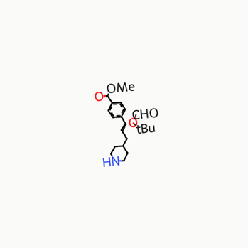 CC(C)(C)OC=O.COC(=O)c1ccc(C=CCC2CCNCC2)cc1